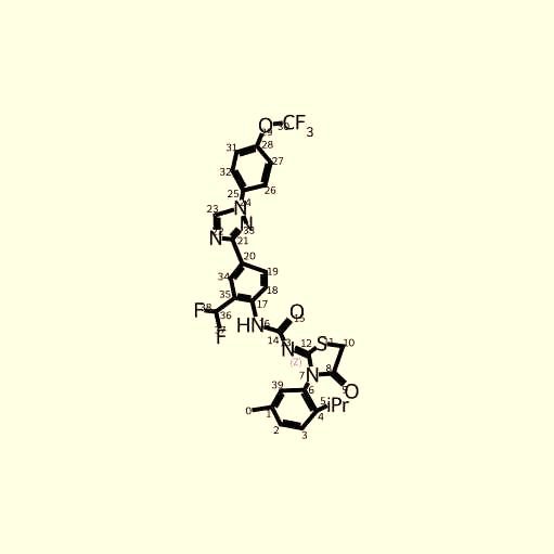 Cc1ccc(C(C)C)c(N2C(=O)CS/C2=N\C(=O)Nc2ccc(-c3ncn(-c4ccc(OC(F)(F)F)cc4)n3)cc2C(F)F)c1